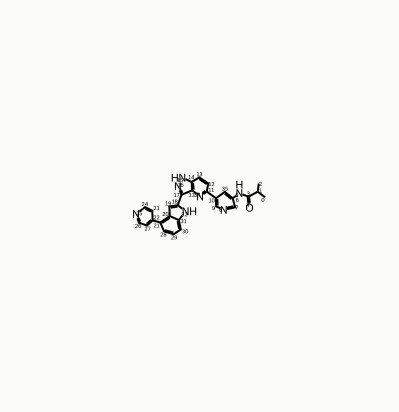 CC(C)C(=O)Nc1cncc(-c2ccc3[nH]nc(-c4cc5c(-c6ccncc6)cccc5[nH]4)c3n2)c1